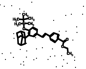 CCOC(=O)c1ccc(/C=C/c2ccc(O[Si](C)(C)C(C)(C)C)c(C34CC5CC(CC(C5)C3)C4)c2)cc1